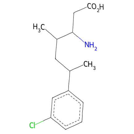 CC(CC(C)C(N)CC(=O)O)c1cccc(Cl)c1